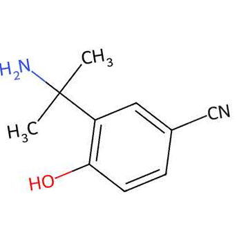 CC(C)(N)c1cc(C#N)ccc1O